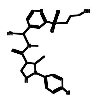 C=C(C1CNN(c2ccc(Cl)cc2)C1C)N(C)C(CCC)c1ccnc(S(=O)(=O)CCCO)c1